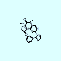 CC[C@@]12CCC(=O)N1c1nc(-n3ccnc3-c3ccccc3)ncc1N(C)C2=O